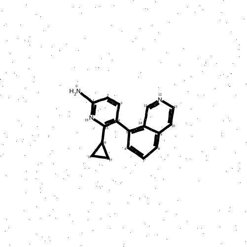 Nc1ccc(-c2cccc3ccncc23)c(C2CC2)n1